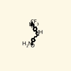 CC(CCc1ccc(C(N)=O)cc1)CNc1ccc(-n2cnc(C(F)(F)F)c2)cc1